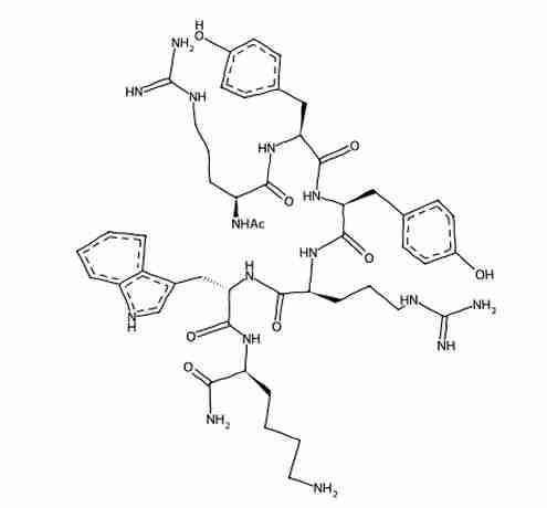 CC(=O)N[C@@H](CCCNC(=N)N)C(=O)N[C@@H](Cc1ccc(O)cc1)C(=O)N[C@@H](Cc1ccc(O)cc1)C(=O)N[C@@H](CCCNC(=N)N)C(=O)N[C@@H](Cc1c[nH]c2ccccc12)C(=O)N[C@@H](CCCCN)C(N)=O